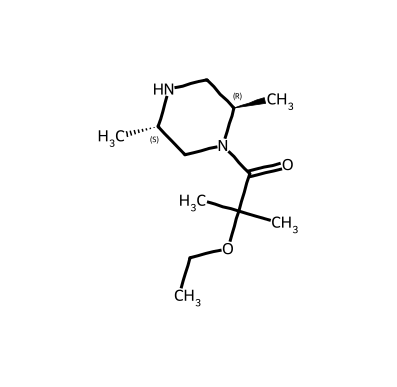 CCOC(C)(C)C(=O)N1C[C@H](C)NC[C@H]1C